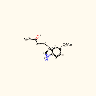 COC(=O)C=Cc1c[nH]c2ccc(OC)cc12